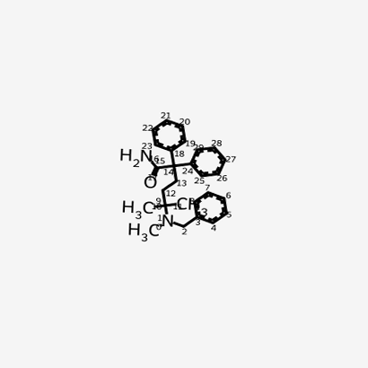 CN(Cc1ccccc1)C(C)(C)CCC(C(N)=O)(c1ccccc1)c1ccccc1